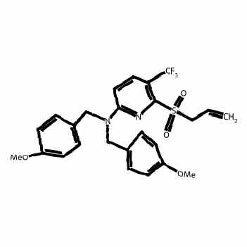 C=CCS(=O)(=O)c1nc(N(Cc2ccc(OC)cc2)Cc2ccc(OC)cc2)ccc1C(F)(F)F